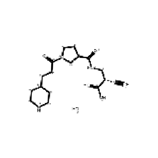 C#C[C@@H](CNC(=O)C1CCN(C(=O)CCC2CCNCC2)C1)C(=O)O.Cl